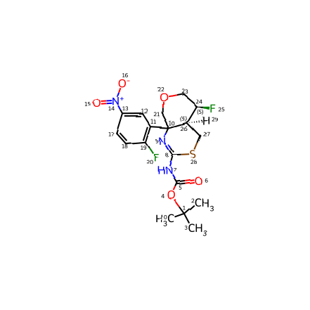 CC(C)(C)OC(=O)NC1=NC2(c3cc([N+](=O)[O-])ccc3F)COC[C@@H](F)[C@H]2CS1